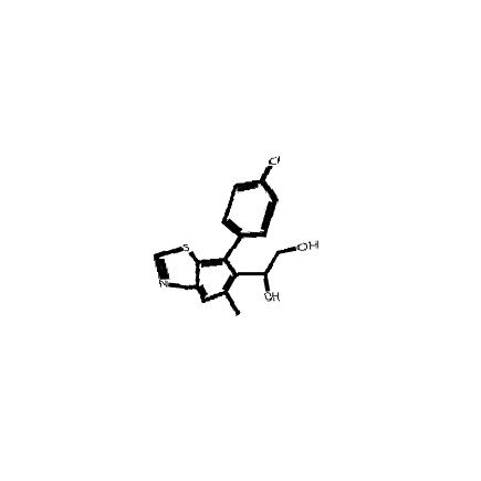 Cc1cc2ncsc2c(-c2ccc(Cl)cc2)c1C(O)CO